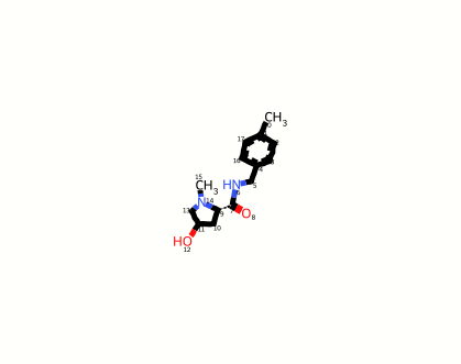 Cc1ccc(CNC(=O)[C@@H]2CC(O)CN2C)cc1